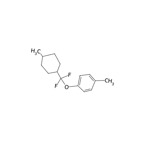 Cc1ccc(OC(F)(F)C2CCC(C)CC2)cc1